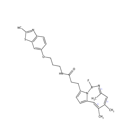 CC1=C/C(C)=N/B(F)n2c(ccc2CCC(=O)NCCCOc2ccc3nc(C#N)sc3c2)\C=C\1C